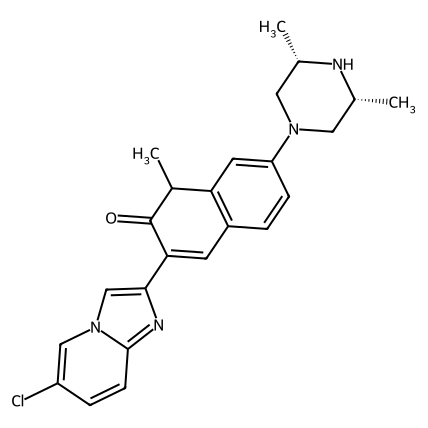 CC1C(=O)C(c2cn3cc(Cl)ccc3n2)=Cc2ccc(N3C[C@@H](C)N[C@@H](C)C3)cc21